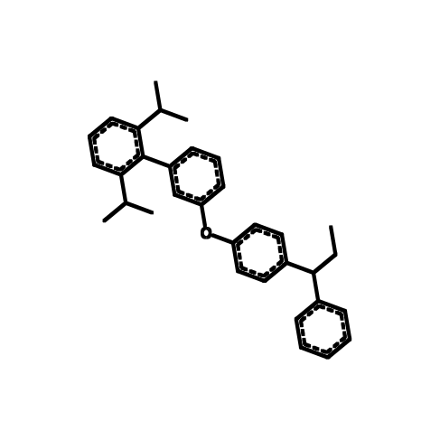 CCC(c1ccccc1)c1ccc(Oc2cccc(-c3c(C(C)C)cccc3C(C)C)c2)cc1